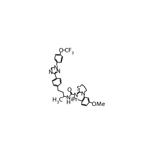 COc1ccc(C(C)C)c(N2CCCS/C2=N\C(=O)NC(C)CCc2ccc(-c3ncn(-c4ccc(OC(F)(F)F)cc4)n3)cc2)c1